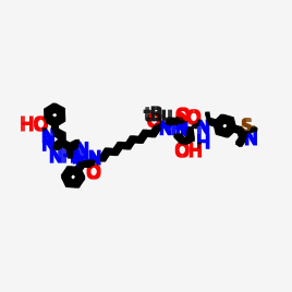 Cc1ncsc1-c1ccc([C@H](C)NC(=O)[C@@H]2C[C@@H](O)CN2C(=O)[C@@H](NC(=O)CCCCCCCCCNC(=O)C(c2ccccc2)n2cc(-c3cc(-c4ccccc4O)nnc3N)cn2)C(C)(C)C)cc1